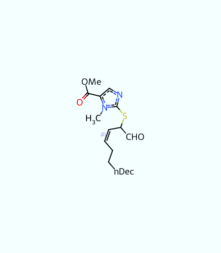 CCCCCCCCCCCC/C=C\C(C=O)Sc1ncc(C(=O)OC)n1C